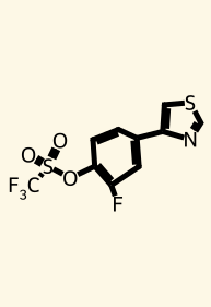 O=S(=O)(Oc1ccc(-c2cscn2)cc1F)C(F)(F)F